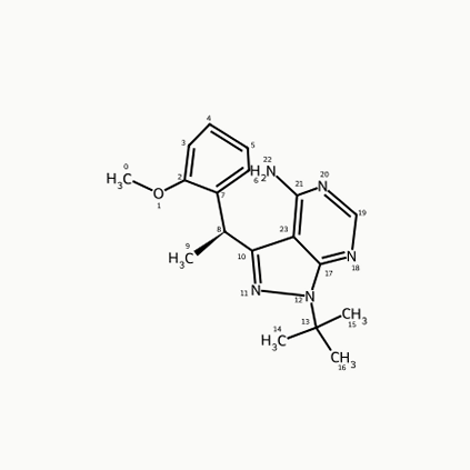 COc1ccccc1[C@H](C)c1nn(C(C)(C)C)c2ncnc(N)c12